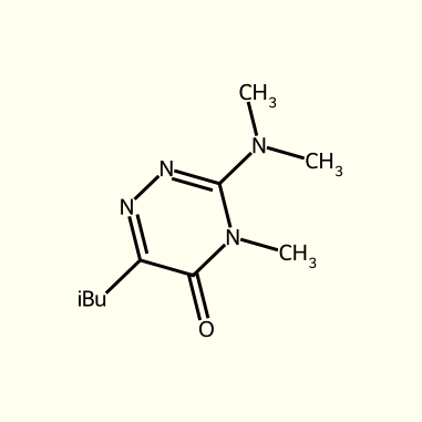 CCC(C)c1nnc(N(C)C)n(C)c1=O